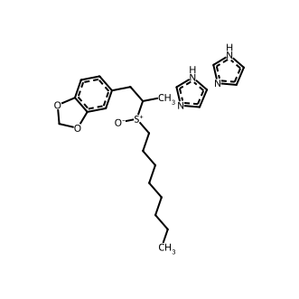 CCCCCCCC[S+]([O-])C(C)Cc1ccc2c(c1)OCO2.c1c[nH]cn1.c1c[nH]cn1